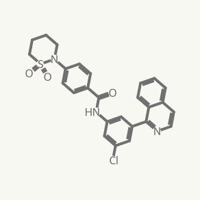 O=C(Nc1cc(Cl)cc(-c2nccc3ccccc23)c1)c1ccc(N2CCCCS2(=O)=O)cc1